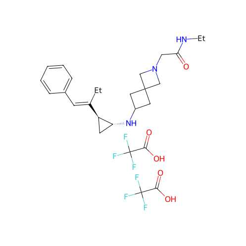 CCNC(=O)CN1CC2(CC(N[C@@H]3C[C@H]3/C(=C/c3ccccc3)CC)C2)C1.O=C(O)C(F)(F)F.O=C(O)C(F)(F)F